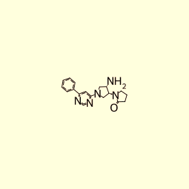 N[C@H]1CN(c2cc(-c3ccccc3)ncn2)C[C@@H]1N1CCCC1=O